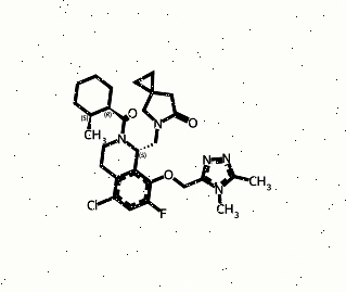 Cc1nnc(COc2c(F)cc(Cl)c3c2[C@@H](CN2CC4(CC4)CC2=O)N(C(=O)[C@@H]2CCCC[C@@H]2C)CC3)n1C